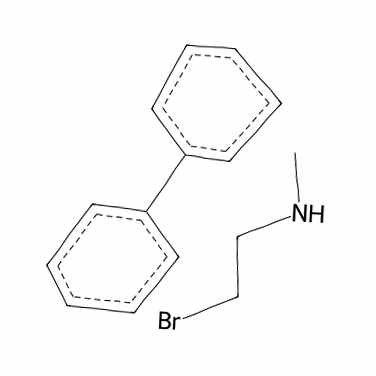 CNCCBr.c1ccc(-c2ccccc2)cc1